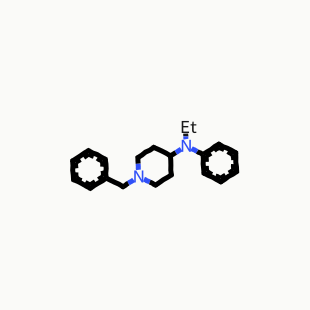 CCN(c1ccccc1)C1CCN(Cc2ccccc2)CC1